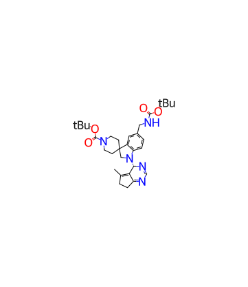 CC1=C2C(=NC=N[C@H]2N2CC3(CCN(C(=O)OC(C)(C)C)CC3)c3cc(CNC(=O)OC(C)(C)C)ccc32)CC1